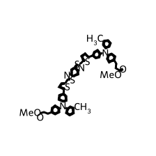 COC(=O)CCc1ccc(N(c2ccc(-c3ccc(-c4nc5cc6sc(-c7ccc(-c8ccc(N(c9ccc(CCC(=O)OC)cc9)c9cccc(C)c9)cc8)s7)nc6cc5s4)s3)cc2)c2cccc(C)c2)cc1